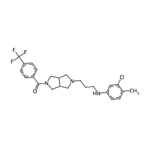 Cc1ccc(NCCCN2CC3CN(C(=O)c4ccc(C(F)(F)F)cc4)CC3C2)cc1Cl